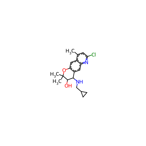 Cc1cc(Cl)nc2cc3c(cc12)OC(C)(C)C(O)C3NCC1CC1